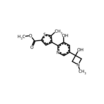 COC(=O)c1cc(-c2ncc(C3(O)CN(C)C3)cc2O)c(C)s1